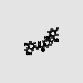 O=C1CC2(CCN(C(=O)NCc3ccc(F)c(CO)c3)CC2)Nc2ccc(F)cc21